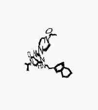 CC(=O)N1CCN(c2nc(NCCc3ccc4c(c3)CCCC4)c3c(n2)C(=O)N(C(C)C)C3)CC1